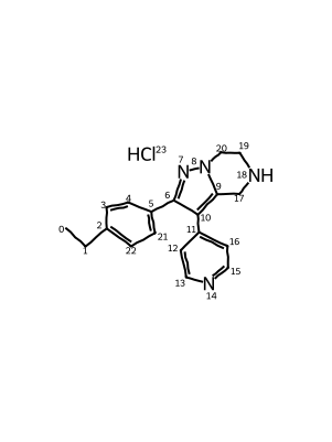 CCc1ccc(-c2nn3c(c2-c2ccncc2)CNCC3)cc1.Cl